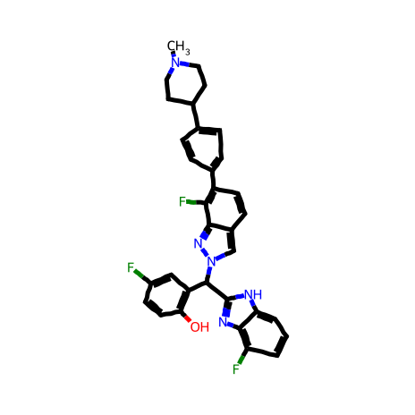 CN1CCC(c2ccc(-c3ccc4cn(C(c5nc6c(F)cccc6[nH]5)c5cc(F)ccc5O)nc4c3F)cc2)CC1